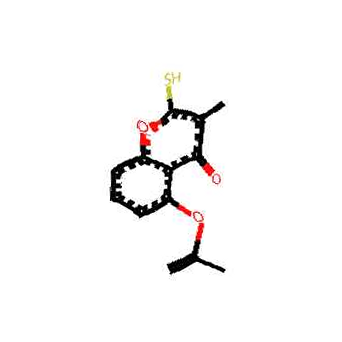 C=C(C)Oc1cccc2oc(S)c(C)c(=O)c12